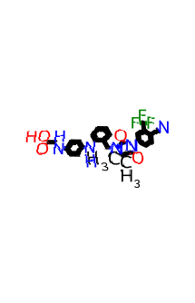 CC1(C)C(=O)N(c2ccc(C#N)c(C(F)(F)F)c2)C(=O)N1Cc1ccccc1Nc1ccc(NCC(=O)O)cc1